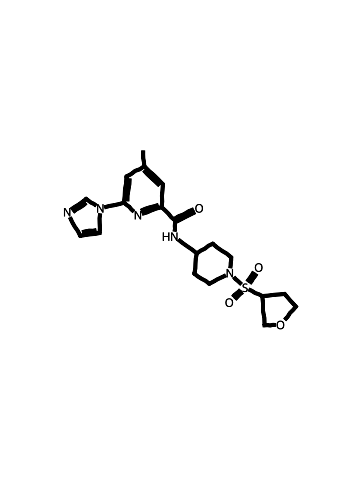 Cc1cc(C(=O)NC2CCN(S(=O)(=O)C3CCOC3)CC2)nc(-n2ccnc2)c1